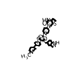 CN1CCC(C2CCN(C(=O)[C@@H](Cc3ccc4[nH]ncc4c3)OC(=O)N3CCC(N4Cc5sccc5NC4=O)CC3)CC2)CC1